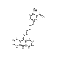 O=Cc1nc(CCCCCSc2c3c(nc4ccccc24)CCCC3)ccc1O